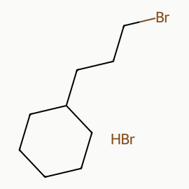 Br.BrCCCC1CCCCC1